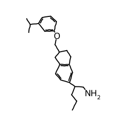 CCCC(CN)c1ccc2c(c1)CCC(COc1cccc(C(C)C)c1)C2